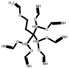 C=COCCC([SiH](OC=N)OC=N)([SiH](OC=N)OC=N)[SiH](OC=N)OC=N